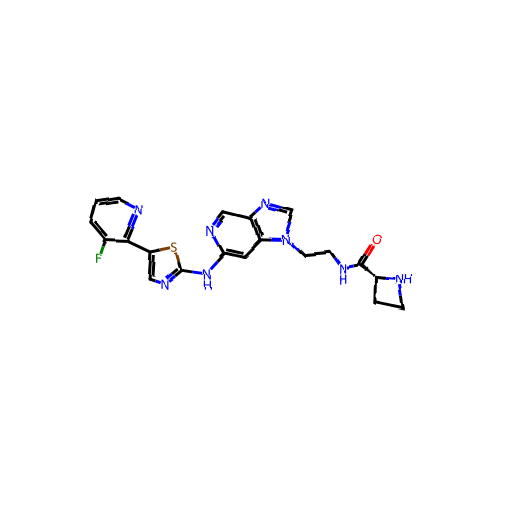 O=C(NCCn1cnc2cnc(Nc3ncc(-c4ncccc4F)s3)cc21)[C@@H]1CCN1